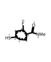 CNC(=O)c1ccc(S)cc1F